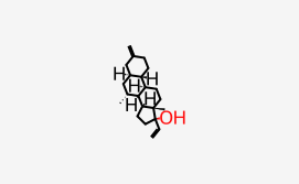 C=C[C@]1(O)CC[C@H]2[C@H]3[C@H](CC[C@@]21C)[C@H]1CCC(=C)C[C@@H]1C[C@H]3C